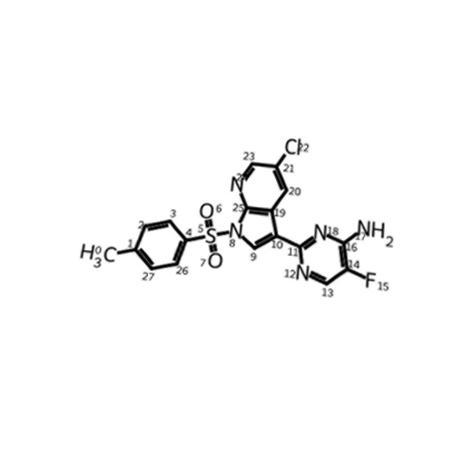 Cc1ccc(S(=O)(=O)n2cc(-c3ncc(F)c(N)n3)c3cc(Cl)cnc32)cc1